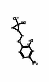 Nc1ccc(OCC2CC2(Cl)Cl)c(Cl)c1